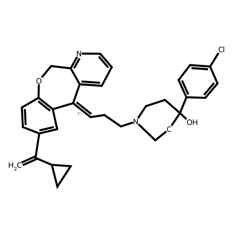 C=C(c1ccc2c(c1)/C(=C/CCN1CCC(O)(c3ccc(Cl)cc3)CC1)c1cccnc1CO2)C1CC1